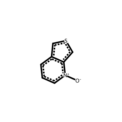 [O-][n+]1cccc2cscc21